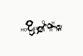 O=C(c1ccc(C[C@@H]2CC[C@H]([C@H](O)c3ccccc3)N2C(=O)O)cn1)N1C[C@@H]2C(n3cnnn3)[C@@H]2C1